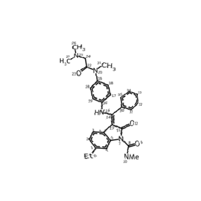 CCc1ccc2c(c1)N(C(=O)NC)C(=O)C2=C(Nc1ccc(N(C)C(=O)CN(C)C)cc1)c1ccccc1